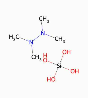 CN(C)N(C)C.O[Si](O)(O)O